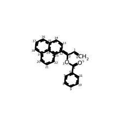 C=CC(OC(=O)c1ccccc1)=c1ccc2cccc3cccc1c32